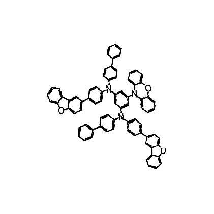 c1ccc(-c2ccc(N(c3ccc(-c4ccc5oc6ccccc6c5c4)cc3)c3cc(N(c4ccc(-c5ccccc5)cc4)c4ccc(-c5ccc6oc7ccccc7c6c5)cc4)cc(N4c5ccccc5Oc5ccccc54)c3)cc2)cc1